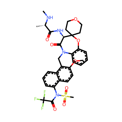 CN[C@@H](C)C(=O)N[C@@H]1C(=O)N(Cc2c(OC)ccc3c(N(C(=O)C(F)(F)F)S(C)(=O)=O)cccc23)c2ccccc2OC12CCOCC2